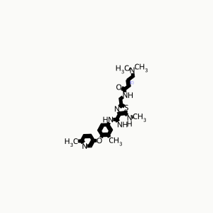 CNc1sc(CNC(=O)/C=C/CN(C)C)nc1C(=N)Nc1ccc(Oc2ccc(C)nc2)c(C)c1